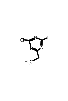 CCc1nc(Cl)nc(I)n1